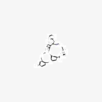 C[C@@H]1[C@@H](C)C/C=C/[C@](O)(Cc2nccs2)[C@@H]2CC[C@H]2CN2CCCCc3cc(Cl)ccc3COc3ccc(cc32)C(=O)NS1(=O)=O